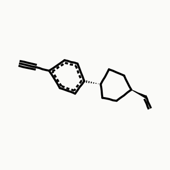 C#Cc1ccc([C@H]2CC[C@H](C=C)CC2)cc1